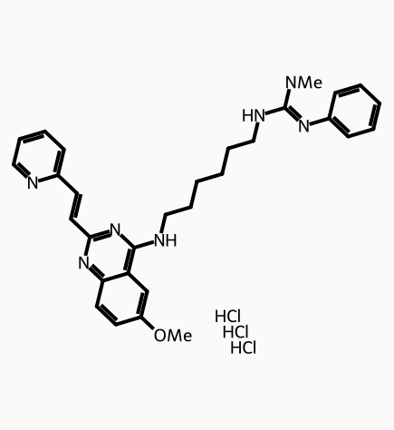 CNC(=Nc1ccccc1)NCCCCCCNc1nc(C=Cc2ccccn2)nc2ccc(OC)cc12.Cl.Cl.Cl